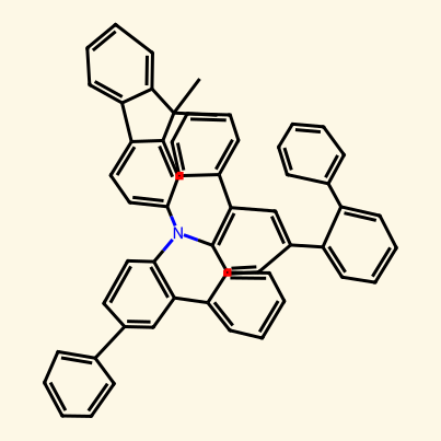 CC1(C)c2ccccc2-c2ccc(N(c3ccc(-c4ccccc4)cc3-c3ccccc3)c3ccc(-c4ccccc4-c4ccccc4)cc3-c3ccccc3)cc21